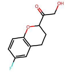 O=C(CO)C1CCc2cc(F)ccc2O1